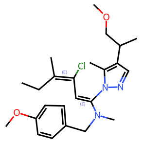 CC/C(C)=C(Cl)\C=C(\N(C)Cc1ccc(OC)cc1)n1ncc(C(C)COC)c1C